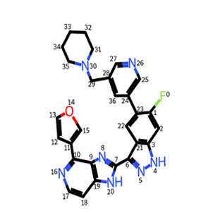 Fc1cc2[nH]nc(-c3nc4c(-c5ccoc5)nccc4[nH]3)c2cc1-c1cncc(CN2CCCCC2)c1